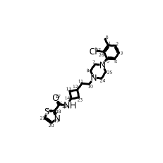 Cc1cccc(N2CCN(CCC3CC(NC(=O)c4nccs4)C3)CC2)c1Cl